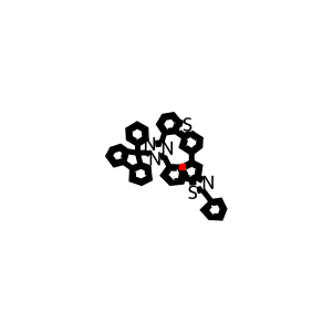 c1ccc(-c2nc(-c3cccc4sc5ccc(-c6ccc7sc(-c8ccccc8)nc7c6)cc5c34)nc(C3(c4ccccc4)c4ccccc4-c4ccccc43)n2)cc1